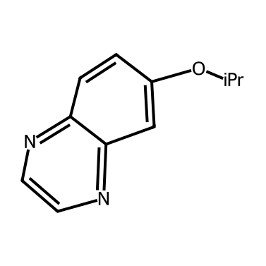 CC(C)Oc1ccc2nccnc2c1